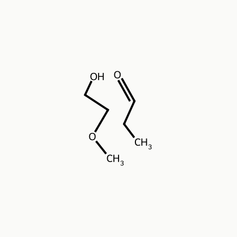 CCC=O.COCCO